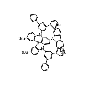 CC(C)(C)c1ccc2c(c1)B1c3cc(C(C)(C)C)ccc3N(c3cc(-c4ccccc4)cc(-c4ccccc4)c3)c3cc(-n4c5cc(C(C)(C)C)ccc5c5ccc(C(C)(C)C)cc54)cc(c31)N2c1cc(-c2ccccc2)cc(-c2ccccc2)c1